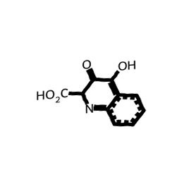 O=C(O)C1N=c2ccccc2=C(O)C1=O